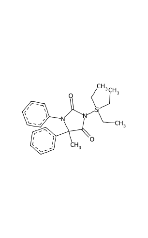 CC[Si](CC)(CC)N1C(=O)N(c2ccccc2)C(C)(c2ccccc2)C1=O